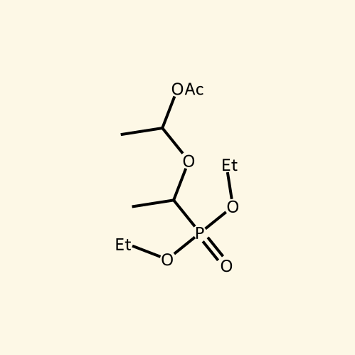 CCOP(=O)(OCC)C(C)OC(C)OC(C)=O